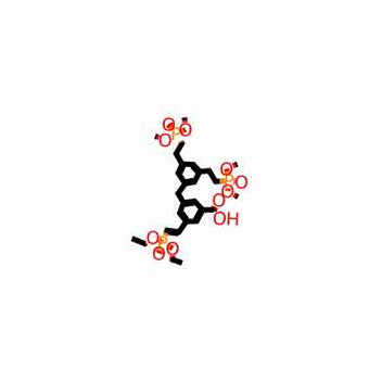 CCOP(=O)(C=Cc1cc(Cc2cc(CCP(=O)(OC)OC)cc(CCP(=O)(OC)OC)c2)cc(C(=O)O)c1)OCC